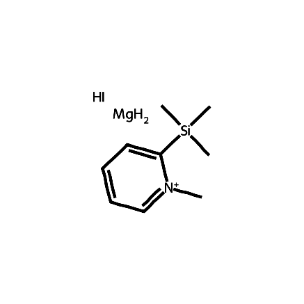 C[n+]1ccccc1[Si](C)(C)C.I.[MgH2]